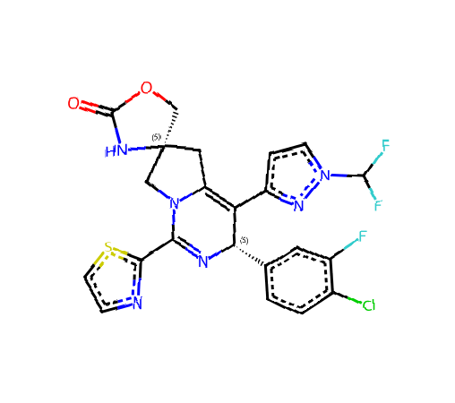 O=C1N[C@@]2(CO1)CC1=C(c3ccn(C(F)F)n3)[C@H](c3ccc(Cl)c(F)c3)N=C(c3nccs3)N1C2